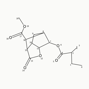 CCC(I)C(=O)OC1C2CC3C1OC(=O)C3C2C(=O)OC